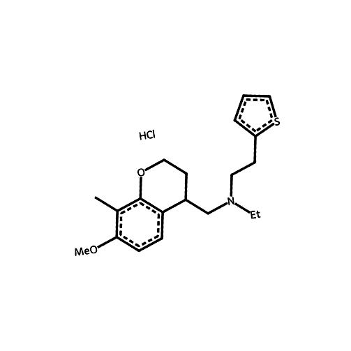 CCN(CCc1cccs1)CC1CCOc2c1ccc(OC)c2C.Cl